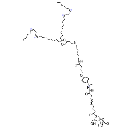 CCCCC/C=C\C/C=C\CCCCCCCCC1(CCCCCCCC/C=C\C/C=C\CCCCC)OCC(CCN(C)CCCCCCNC(=O)CCCOc2ccc(/C(C)=N/NC(=O)CCSSCCCC(=O)N3C[C@H](O[PH](=O)O)C[C@H]3CO)cc2)O1